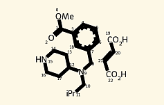 COC(=O)c1cccc(CN(CC(C)C)C2CCNCC2)c1.O=C(O)/C=C/C(=O)O